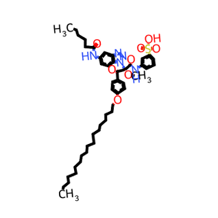 CCCCCCCCCCCCCCCCCCOc1ccc(C(=O)C(OC)(C(=O)Nc2cccc(S(=O)(=O)O)c2)n2nnc3cc(NC(=O)CCCCC)ccc32)cc1